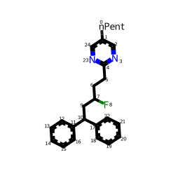 CCCCCc1cnc(CCC(F)CC(c2ccccc2)c2ccccc2)nc1